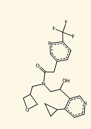 O=C(Cc1ccc(C(F)(F)F)nc1)N(CC1COC1)CC(O)c1cnccc1C1CC1